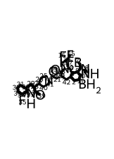 Bc1cc2c(c3c(B)n[nH]c13)CN(CC(F)(F)F)C(=O)[C@H](CC(=O)N1CCC(c3cc4cccc(F)c4[nH]c3=O)CC1)C2